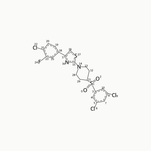 O=S(=O)(c1cc(Cl)cc(Cl)c1)C1CCN(c2nc(-c3ccc(Cl)c(F)c3)cs2)CC1